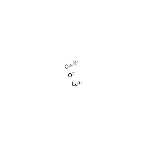 [K+].[La+3].[O-2].[O-2]